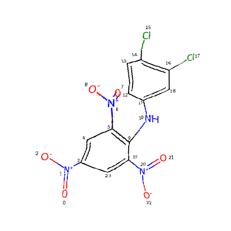 O=[N+]([O-])c1cc([N+](=O)[O-])c(Nc2ccc(Cl)c(Cl)c2)c([N+](=O)[O-])c1